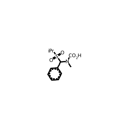 CC(C)S(=O)(=O)C(c1ccccc1)N(C)C(=O)O